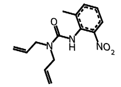 C=CCN(CC=C)C(=O)Nc1c(C)cccc1[N+](=O)[O-]